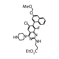 CCOC(=O)CCNc1nc(N2CCNCC2)c2cc(Cl)c(-c3cc(OCOC)cc4ccccc34)c(F)c2n1